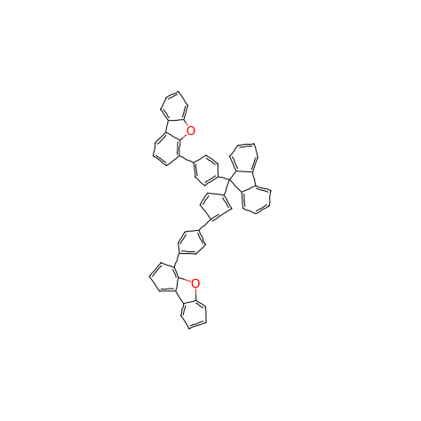 c1ccc2c(c1)-c1ccccc1C2(c1ccc(-c2ccc(-c3cccc4c3oc3ccccc34)cc2)cc1)c1ccc(-c2cccc3c2oc2ccccc23)cc1